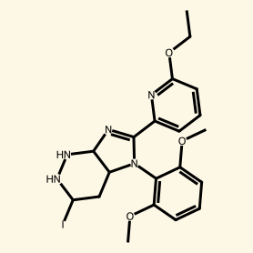 CCOc1cccc(C2=NC3NNC(I)CC3N2c2c(OC)cccc2OC)n1